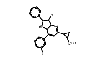 CCOC(=O)C1CC1C1=NC2C(Br)C(c3ccccc3)NN2C(c2cccc(Br)c2)=C1